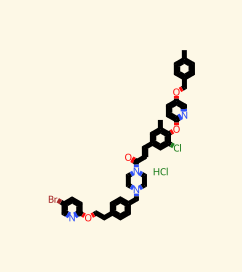 Cc1ccc(COc2ccc(Oc3c(C)cc(/C=C/C(=O)N4CCN(Cc5ccc(CCOc6ccc(Br)cn6)cc5)CC4)cc3Cl)nc2)cc1.Cl